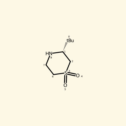 CC(C)(C)[C@@H]1CS(=O)(=O)CCN1